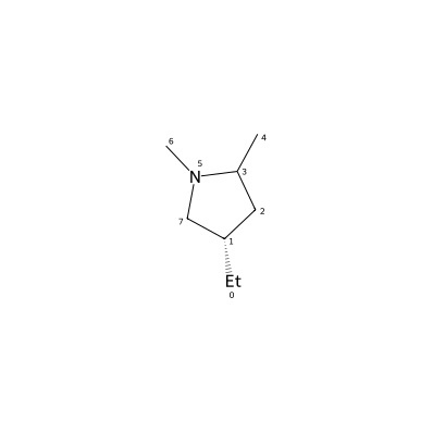 CC[C@H]1CC(C)N(C)C1